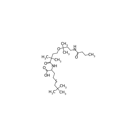 CCCC(=O)NCCC(C)(C)OCCC(C)(C)C(=O)NC(CCSCC(C)(C)C)C(=O)O